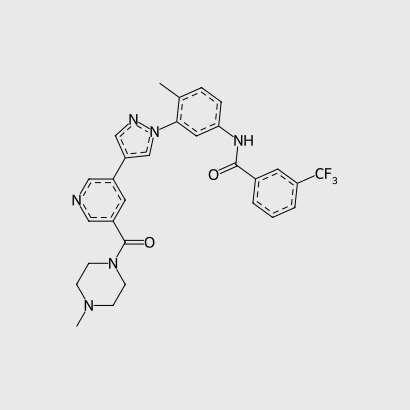 Cc1ccc(NC(=O)c2cccc(C(F)(F)F)c2)cc1-n1cc(-c2cncc(C(=O)N3CCN(C)CC3)c2)cn1